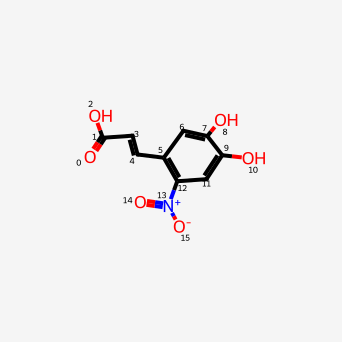 O=C(O)/C=C/c1cc(O)c(O)cc1[N+](=O)[O-]